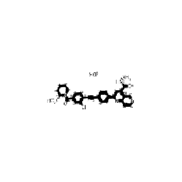 Cl.NNC(=O)c1cc(-c2ccc(C#Cc3ccc(C(=O)N4CCCC[C@H]4C(=O)O)cc3Cl)cc2)nc2ccncc12